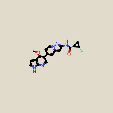 COc1c(-c2ccn3nc(NC(=O)[C@@H]4C[C@@H]4F)cc3c2)cnc2[nH]ccc12